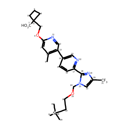 Cc1cc(OCC2(C(=O)O)CCC2)ncc1-c1ccc(-c2nc(C(F)(F)F)cn2COCC[Si](C)(C)C)nc1